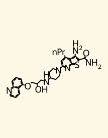 CCCc1cc(N2CCC(NCC(O)COc3cccc4ncccc34)CC2)nc2sc(C(N)=O)c(N)c12